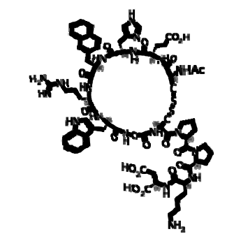 CC(=O)N[C@H]1CSSC[C@@H](C(=O)N2CCC[C@H]2C(=O)N2CCC[C@H]2C(=O)N[C@@H](CCCCN)C(=O)N[C@@H](CC(=O)O)C(=O)O)NC(=O)CNC(=O)[C@H](Cc2c[nH]c3ccccc23)NC(=O)[C@H](CCCNC(=N)N)NC(=O)[C@@H](Cc2ccc3ccccc3c2)NC(=O)[C@H](Cc2c[nH]cn2)NC(=O)[C@H](CCC(=O)O)NC1=O